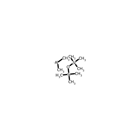 C[Si](C)(C)O[Si](C)(C)C.[CH3][Al][CH3]